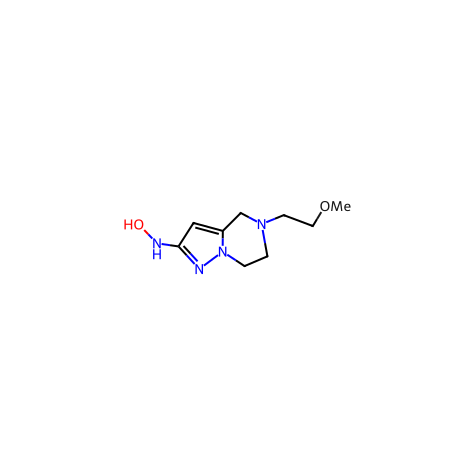 COCCN1CCn2nc(NO)cc2C1